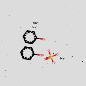 O=P([O-])([O-])[O-].Oc1ccccc1.Oc1ccccc1.[Na+].[Na+].[Na+]